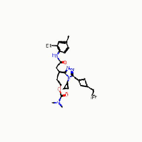 CCc1cc(C)ccc1NC(=O)CC(CCOC(=O)N(C)C)c1nnc(C2CC(CC(C)C)C2)n1C1CC1